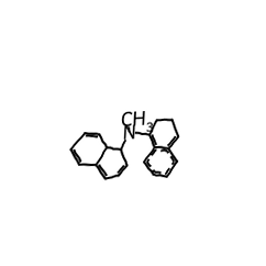 CN(C1=c2ccccc2=CCC1)C1C=CC=C2C=CC=CC21